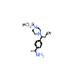 CC(C)CC(c1ccc(C(C)N)cc1)N1CCN(C(=O)O)CC1